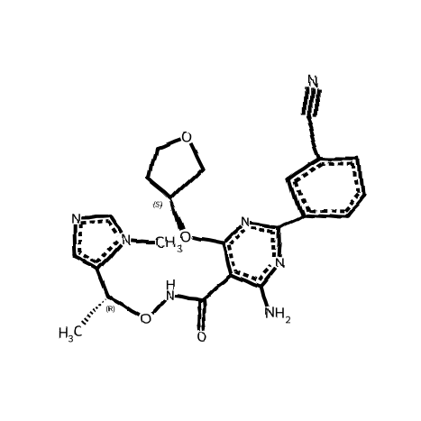 C[C@@H](ONC(=O)c1c(N)nc(-c2cccc(C#N)c2)nc1O[C@H]1CCOC1)c1cncn1C